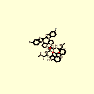 CN[C@H](C)C(=O)N[C@H](Cc1c[nH]c2ccccc12)C(=O)N1CCC[C@H]1Cn1c(-c2nc3cc(F)ccc3n2C[C@@H]2CCCN2C(=O)[C@@H](Cc2c[nH]c3ccccc23)NC(=O)[C@@H](C)NC)nc2cc(F)ccc21